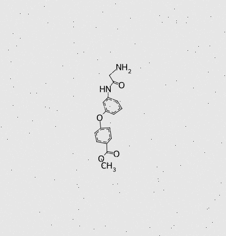 COC(=O)c1ccc(Oc2cccc(NC(=O)CN)c2)cc1